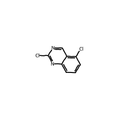 Clc1ncc2c(Cl)cccc2n1